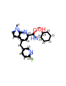 Cn1ccc2c(Cc3ccc(F)nc3)cc(C(=O)N[C@H]3CCCC[C@@H]3O)nc21